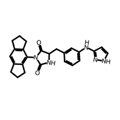 O=C1NC(Cc2cccc(Nc3cc[nH]n3)c2)C(=O)N1c1c2c(cc3c1CCC3)CCC2